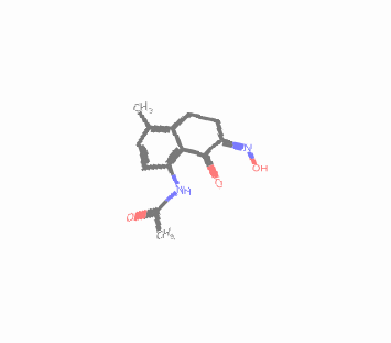 CC(=O)Nc1ccc(C)c2c1C(=O)C(=NO)CC2